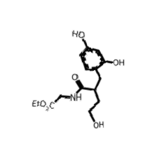 CCOC(=O)CNC(=O)C(CCO)Cc1ccc(O)cc1O